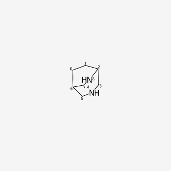 C1CC2CNC[C]1CN2